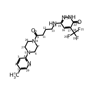 Cc1ccc(N2CCN(C(=O)CCCNc3cc(C(F)(F)F)c(=O)[nH]n3)CC2)nc1